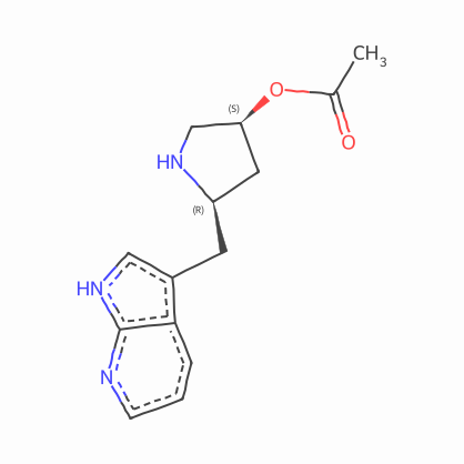 CC(=O)O[C@@H]1CN[C@H](Cc2c[nH]c3ncccc23)C1